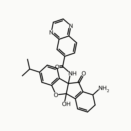 CC(C)c1ccc2c(c1)OC1(O)C3=C(C(=O)C21NC(=O)c1ccc2nccnc2c1)C(N)CC=C3